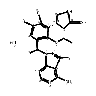 CCOc1c(C(C)n2nc(C)c3c(N)ncnc32)cc(Cl)c(F)c1[C@@H]1CNC(=O)C1.Cl